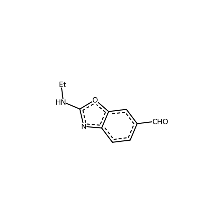 CCNc1nc2ccc(C=O)cc2o1